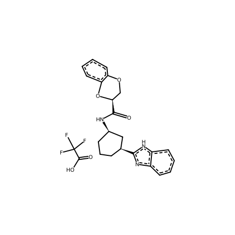 O=C(N[C@@H]1CCC[C@H](c2nc3ccccc3[nH]2)C1)[C@@H]1COc2ccccc2O1.O=C(O)C(F)(F)F